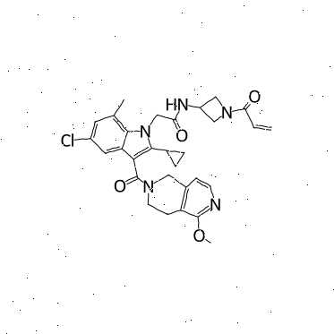 C=CC(=O)N1CC(NC(=O)Cn2c(C3CC3)c(C(=O)N3CCc4c(ccnc4OC)C3)c3cc(Cl)cc(C)c32)C1